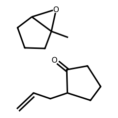 C=CCC1CCCC1=O.CC12CCCC1O2